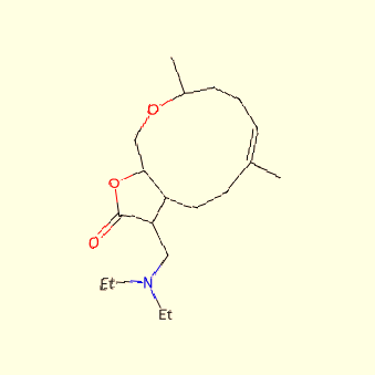 CCN(CC)CC1C(=O)OC2COC(C)CCC=C(C)CCC21